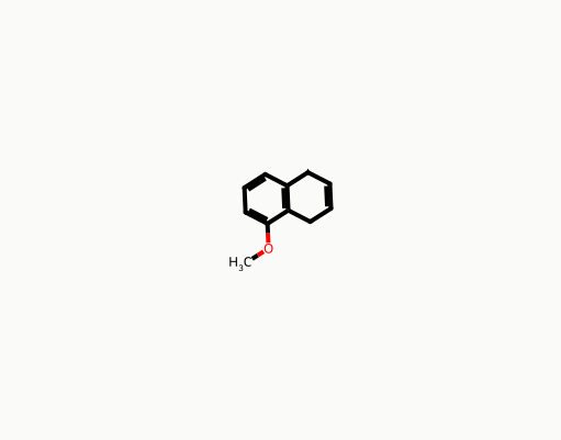 COc1cccc2c1CC=C[CH]2